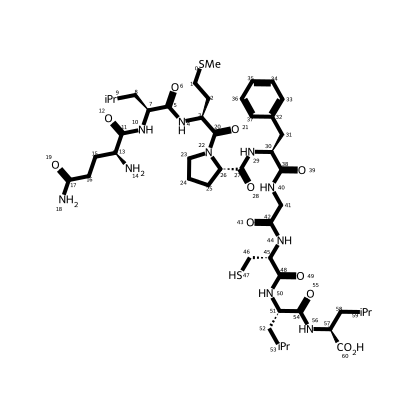 CSCC[C@H](NC(=O)[C@H](CC(C)C)NC(=O)[C@@H](N)CCC(N)=O)C(=O)N1CCC[C@H]1C(=O)N[C@@H](Cc1ccccc1)C(=O)NCC(=O)N[C@@H](CS)C(=O)N[C@@H](CC(C)C)C(=O)N[C@@H](CC(C)C)C(=O)O